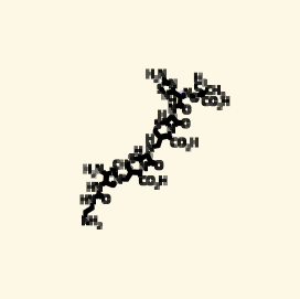 Cn1c(N)c(NC(=O)NCCN)c[n+]1CC1=C(C(=O)O)N2C(=O)[C@@H](NCC3=C(C(=O)O)N4C(=O)[C@@H](NC(=O)/C(=N\OC(C)(C)C(=O)O)c5nsc(N)n5)[C@H]4SC3)[C@H]2SC1